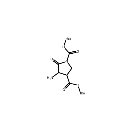 CC(C)(C)OC(=O)C1CN(C(=O)OC(C)(C)C)C(=O)C1N